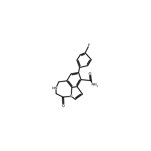 NC(=O)c1c(-c2ccc(F)cc2)cc2c3c1ccn3C(=O)CNC2